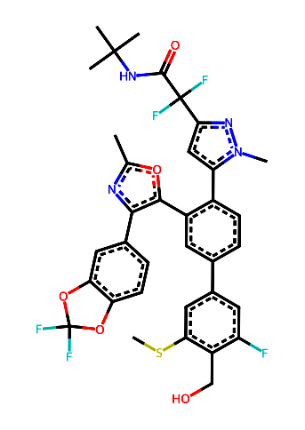 CSc1cc(-c2ccc(-c3cc(C(F)(F)C(=O)NC(C)(C)C)nn3C)c(-c3oc(C)nc3-c3ccc4c(c3)OC(F)(F)O4)c2)cc(F)c1CO